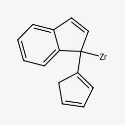 [Zr][C]1(C2=CC=CC2)C=Cc2ccccc21